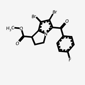 COC(=O)C1CCn2c(C(=O)c3ccc(F)cc3)c(Br)c(Br)c21